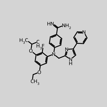 CCOc1cc(OC(C)C)c(F)c(N(Cc2nc(-c3ccncc3)c[nH]2)c2ccc(C(=N)N)cc2)c1